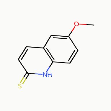 COc1ccc2[nH]c(=S)ccc2c1